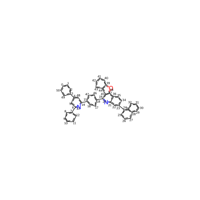 c1ccc(-c2cc(-c3ccccc3)nc(-c3ccc(-c4nc5cc(-c6cccc7ccccc67)ccc5c5oc6ccccc6c45)cc3)c2)cc1